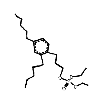 CCCCCc1ccc(CCCOP(=O)(OCC)OCC)c(CCCCC)c1